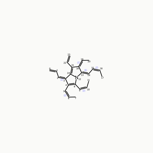 C=C/C=c1/c(/C=C\C)c(/C=C\C)n2c(=C/C=C\C)/c(=C\C)c(C=C)c12